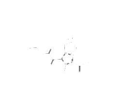 CCOC(=O)C(=O)c1c(C)c(C(=O)O)n2c1C[C@@H](F)C2